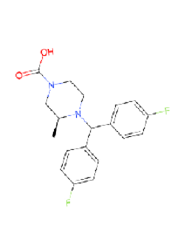 C[C@H]1CN(C(=O)O)CCN1C(c1ccc(F)cc1)c1ccc(F)cc1